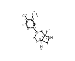 Cc1cc(N2CC[C@@H]3CN[C@@H]3C2)cnc1Cl